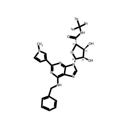 [2H]C([2H])([2H])NC(=O)[C@H]1O[C@@H](n2cnc3c(NCc4ccccc4)nc(-c4ccn(C)c4)nc32)[C@H](O)[C@@H]1O